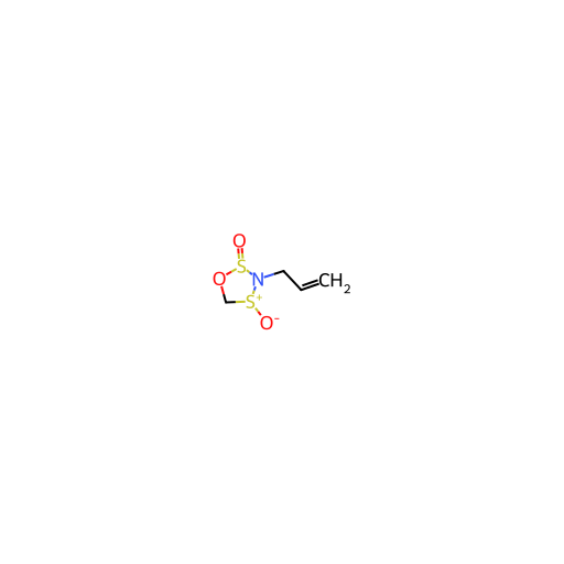 C=CCN1S(=O)OC[S+]1[O-]